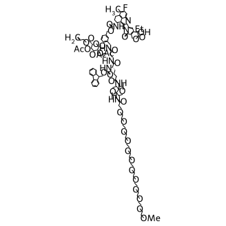 C=CCOC(=O)[C@H]1O[C@@H](Oc2ccc(COC(=O)N[C@H]3CCc4c(C)c(F)cc5nc6c(c3c45)Cn3c-6cc4c(c3=O)COC(=O)[C@]4(O)CC)cc2CNC(=O)CCNC(=O)[C@H](CCCC(=O)N[C@H]2CO[C@H]3[C@@H]2OC[C@@H]3NC(=O)CCOCCOCCOCCOCCOCCOCCOCCOCCOCCOCCOCCOC)NC(=O)OCC2c3ccccc3-c3ccccc32)[C@H](OC(C)=O)[C@@H](OC(C)=O)[C@@H]1OC(C)=O